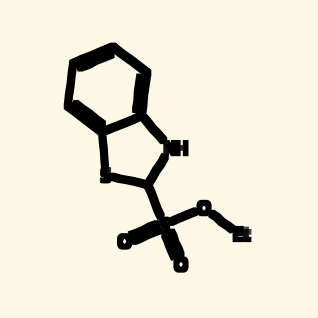 CCOS(=O)(=O)C1Nc2ccccc2S1